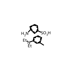 CCN(CC)c1cccc(C)c1.Nc1cccc(S(=O)(=O)O)c1